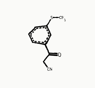 N#CCC(=O)c1cccc(SC(F)(F)F)c1